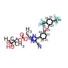 CC(OC(=O)OCC(C)(C)C(=O)O)n1nc(C#N)c(-c2cccc(OCc3cc(C(F)(F)F)ccc3C(F)(F)F)c2)n1